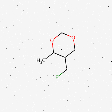 CC1OCOCC1CF